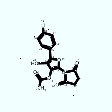 CC(=O)Oc1c(N2C(=O)CCC2=O)oc(-c2ccc(Cl)cc2)c1O